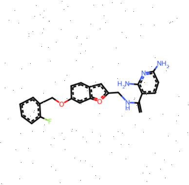 C=C(NCc1cc2ccc(OCc3ccccc3F)cc2o1)c1ccc(N)nc1N